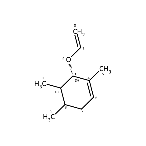 C=CO[C@@H]1C(C)=CCC(C)C1C